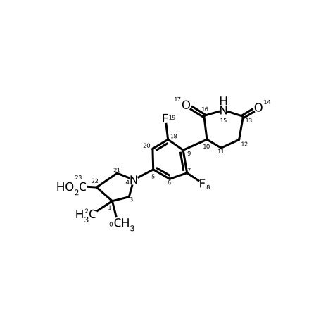 CC1(C)CN(c2cc(F)c(C3CCC(=O)NC3=O)c(F)c2)CC1C(=O)O